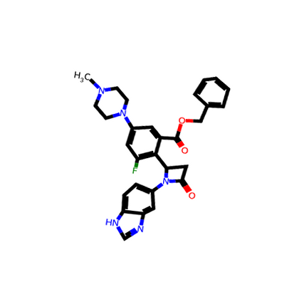 CN1CCN(c2cc(F)c(C3CC(=O)N3c3ccc4[nH]cnc4c3)c(C(=O)OCc3ccccc3)c2)CC1